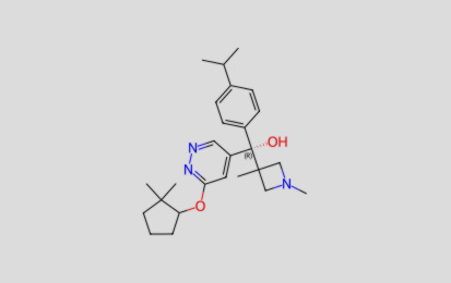 CC(C)c1ccc([C@](O)(c2cnnc(OC3CCCC3(C)C)c2)C2(C)CN(C)C2)cc1